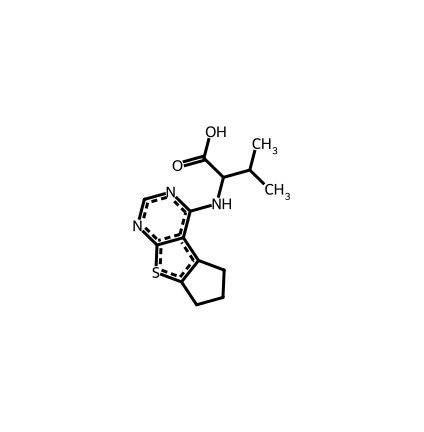 CC(C)C(Nc1ncnc2sc3c(c12)CCC3)C(=O)O